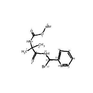 CC(C)(C)OC(=O)NC(C)(C)C(=O)NC(Br)c1ccccn1